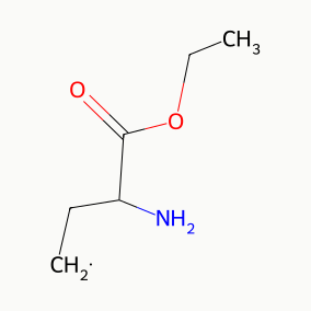 [CH2]CC(N)C(=O)OCC